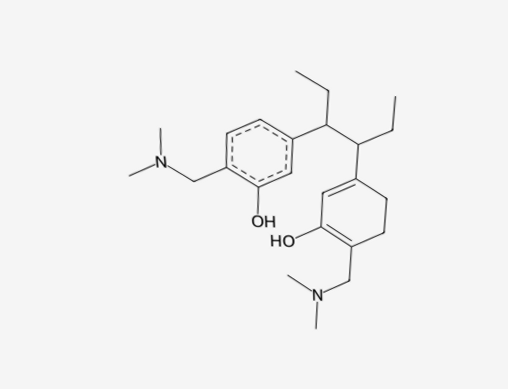 CCC(C1=CC(O)=C(CN(C)C)CC1)C(CC)c1ccc(CN(C)C)c(O)c1